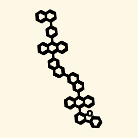 c1ccc2c(-c3ccc(-c4c5ccccc5c(-c5ccc6ccc(-c7ccc8ccc(-c9c%10ccccc%10c(-c%10cccc%11c%10oc%10ccccc%10%11)c%10ccccc9%10)cc8c7)cc6c5)c5ccccc45)cc3)cccc2c1